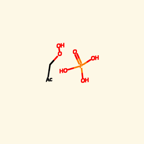 CC(=O)COO.O=P(O)(O)O